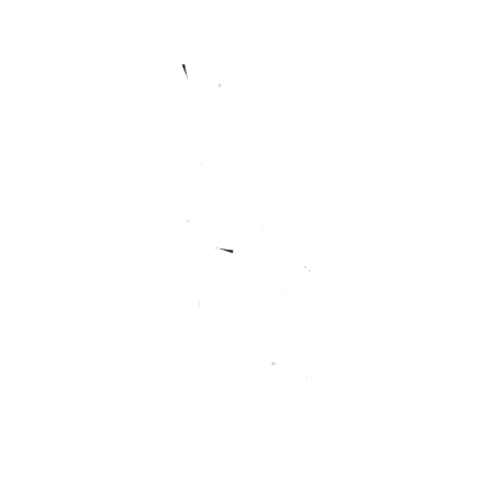 CCC1CC[C@@H](C)[C@](O)(C(=O)C(=O)N2CCCC[C@H]2C(=O)O[C@@H](C(C)C)[C@H](C)C[C@@H]2CC[C@@H](O)[C@H](OC)C2)O1